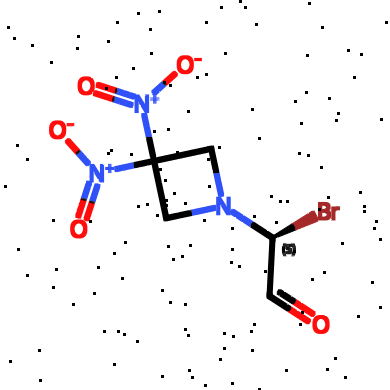 O=C[C@H](Br)N1CC([N+](=O)[O-])([N+](=O)[O-])C1